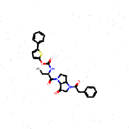 CC(C)CC(NC(=O)Oc1ccc(-c2ccccc2)s1)C(=O)N1CCC2C1C(=O)CN2C(=O)Cc1ccccc1